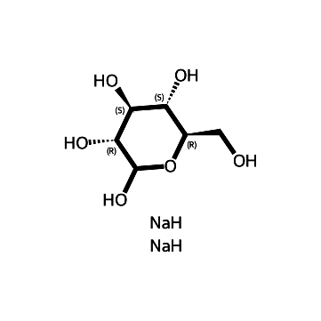 OC[C@H]1OC(O)[C@H](O)[C@@H](O)[C@@H]1O.[NaH].[NaH]